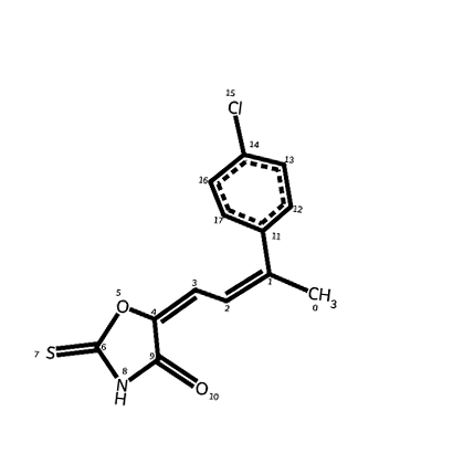 C/C(=C/C=C1/OC(=S)NC1=O)c1ccc(Cl)cc1